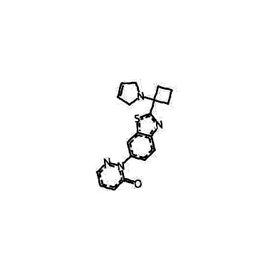 O=c1cccnn1-c1ccc2nc(C3(N4CC=CC4)CCC3)sc2c1